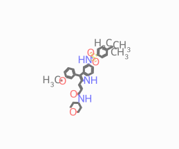 COc1cccc(-c2c(/C=C/C(=O)NC3CCOCC3)[nH]c3ccc(NS(=O)(=O)c4ccc(C(C)(C)C)cc4)cc23)c1